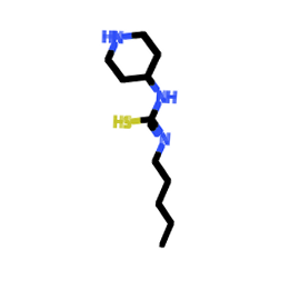 CCCCC/N=C(\S)NC1CCNCC1